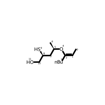 C/C=C(/CCCC)O[C@H](C)C[C@H](S)CO